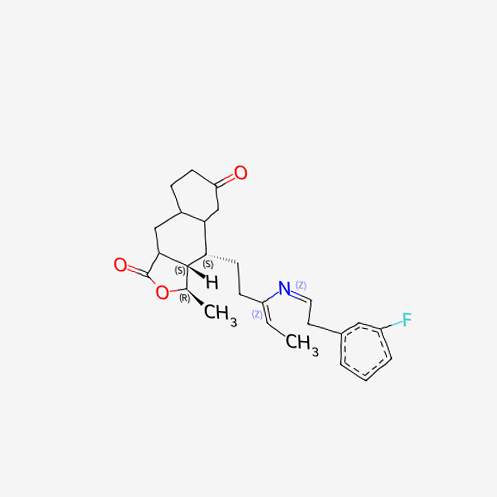 C/C=C(CC[C@H]1C2CC(=O)CCC2CC2C(=O)O[C@H](C)[C@H]21)\N=C/Cc1cccc(F)c1